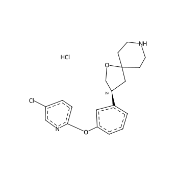 Cl.Clc1ccc(Oc2cccc([C@H]3COC4(CCNCC4)C3)c2)nc1